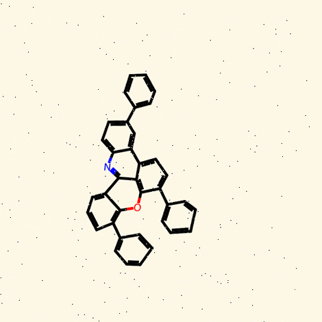 c1ccc(-c2ccc3nc4c5c(c(-c6ccccc6)ccc5c3c2)Oc2c(-c3ccccc3)cccc2-4)cc1